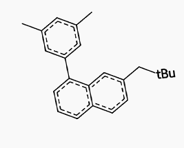 Cc1cc(C)cc(-c2cccc3ccc(CC(C)(C)C)cc23)c1